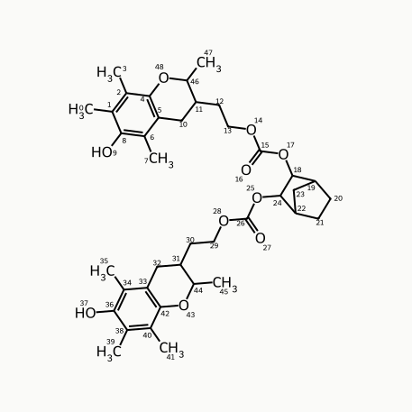 Cc1c(C)c2c(c(C)c1O)CC(CCOC(=O)OC1C3CCC(C3)C1OC(=O)OCCC1Cc3c(C)c(O)c(C)c(C)c3OC1C)C(C)O2